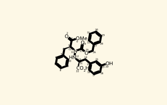 COC(=O)[C@H](Cc1ccccc1)N(N[C@@H](Cc1cccc(O)c1)C(=O)O)C(=O)OCc1ccccc1